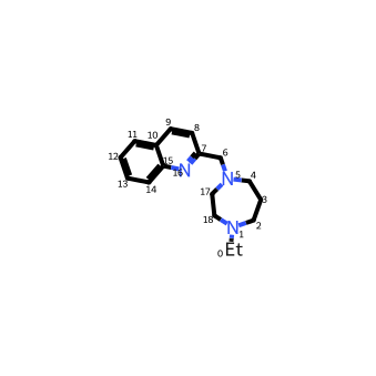 CCN1CCCN(Cc2ccc3ccccc3n2)CC1